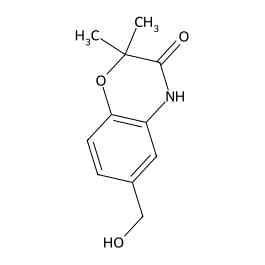 CC1(C)Oc2ccc(CO)cc2NC1=O